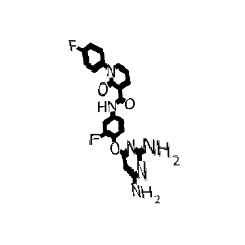 Nc1cc(Oc2ccc(NC(=O)c3cccn(-c4ccc(F)cc4)c3=O)cc2F)nc(N)n1